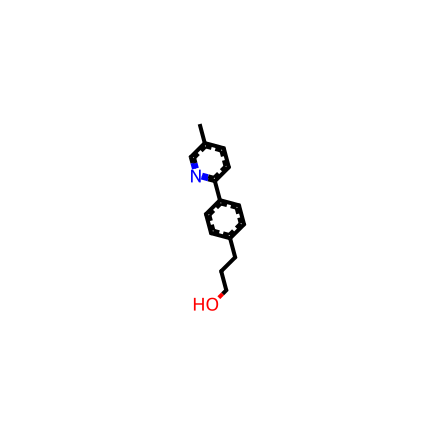 Cc1ccc(-c2ccc(CCCO)cc2)nc1